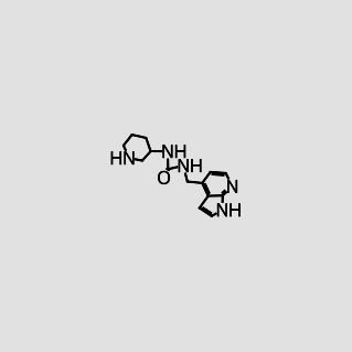 O=C(NCc1ccnc2[nH]ccc12)NC1CCCNC1